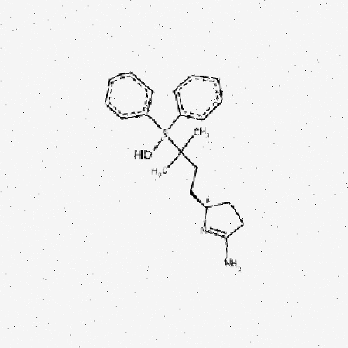 CC(C)(CC[C@H]1CCC(N)=N1)[Si](O)(c1ccccc1)c1ccccc1